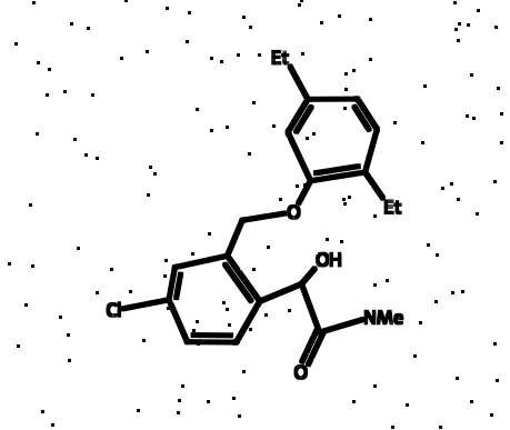 CCc1ccc(CC)c(OCc2cc(Cl)ccc2C(O)C(=O)NC)c1